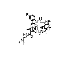 CCN(CC)CCNC(=O)c1c(C)[nH]c(/C=C2\C(=O)N(C(=O)CC[C@H](NC(=O)[C@@H](C)N)C(=O)PC)c3ccc(F)cc32)c1C